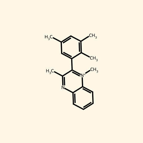 Cc1cc(C)c(C)c(-c2c(C)nc3ccccc3[n+]2C)c1